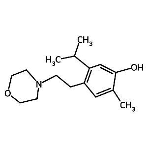 Cc1cc(CCN2CCOCC2)c(C(C)C)cc1O